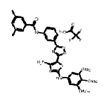 COc1cc(Nc2nc(N)c(-c3nc(-c4cccc(NC(=O)c5cc(C)cc(C)c5)c4)no3)s2)cc(OC)c1OC.O=C(O)C(F)(F)F